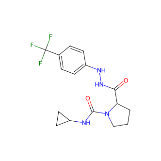 O=C(NNc1ccc(C(F)(F)F)cc1)C1CCCN1C(=O)NC1CC1